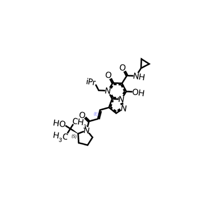 CC(C)Cn1c(=O)c(C(=O)NC2CC2)c(O)n2ncc(/C=C/C(=O)N3CCC[C@H]3C(C)(C)O)c12